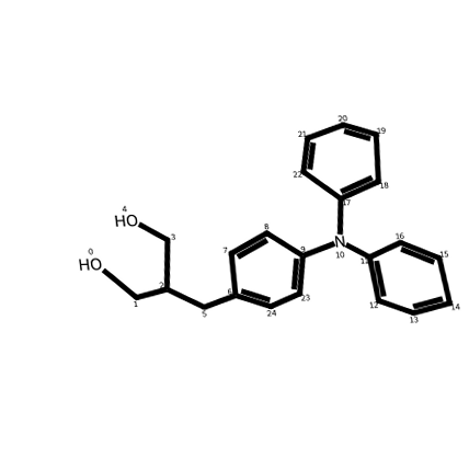 OCC(CO)Cc1ccc(N(c2ccccc2)c2ccccc2)cc1